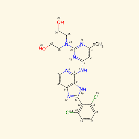 Cc1cc(Nc2nccc3nc(-c4c(Cl)cccc4Cl)[nH]c23)nc(N(CCO)CCO)n1